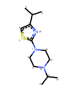 CC(C)c1csc(N2CCN(C(C)C)CC2)n1